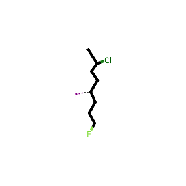 CC(Cl)CC[C@@H](I)CCCF